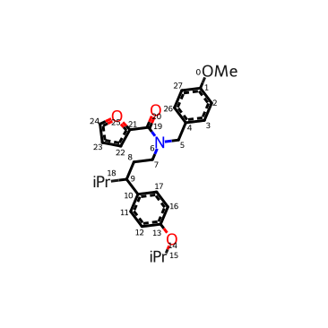 COc1ccc(CN(CCC(c2ccc(OC(C)C)cc2)C(C)C)C(=O)c2ccco2)cc1